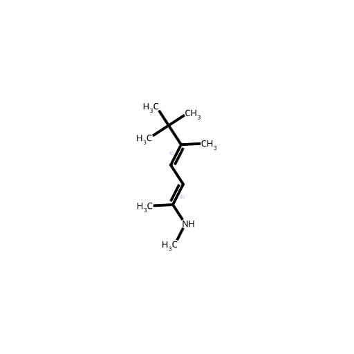 CN/C(C)=C/C=C(\C)C(C)(C)C